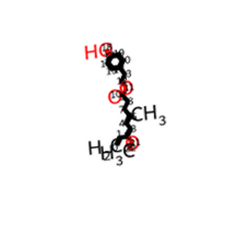 C=C/C(=C\C=C(/C)CCC(=O)OCCc1ccc(O)cc1)OC